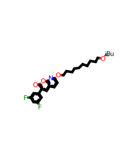 CC[C@@H](C)OCCCCCCCCCCOc1ccc2cc(-c3cc(F)cc(F)c3)c(=O)oc2n1